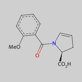 COc1ccccc1C(=O)N1C=CC[C@H]1C(=O)O